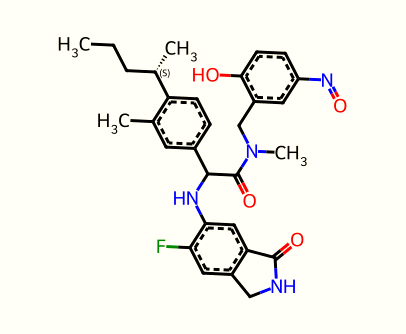 CCC[C@H](C)c1ccc(C(Nc2cc3c(cc2F)CNC3=O)C(=O)N(C)Cc2cc(N=O)ccc2O)cc1C